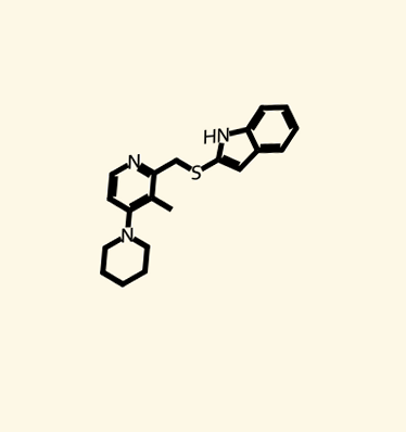 Cc1c(N2CCCCC2)ccnc1CSc1cc2ccccc2[nH]1